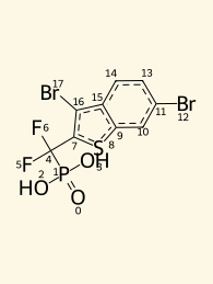 O=P(O)(O)C(F)(F)c1sc2cc(Br)ccc2c1Br